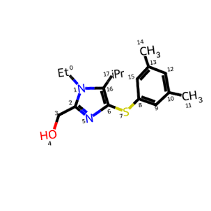 CCn1c(CO)nc(Sc2cc(C)cc(C)c2)c1C(C)C